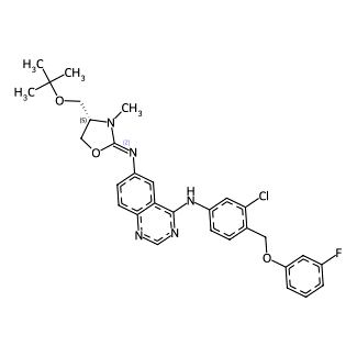 CN1/C(=N/c2ccc3ncnc(Nc4ccc(COc5cccc(F)c5)c(Cl)c4)c3c2)OC[C@@H]1COC(C)(C)C